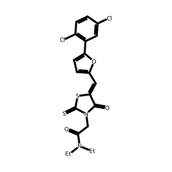 CCN(CC)C(=O)CN1C(=O)C(=Cc2ccc(-c3cc(Cl)ccc3Cl)o2)SC1=S